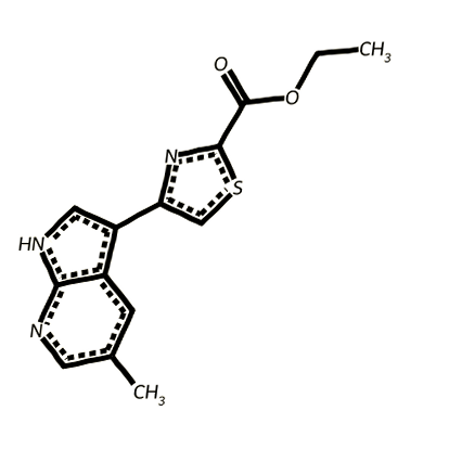 CCOC(=O)c1nc(-c2c[nH]c3ncc(C)cc23)cs1